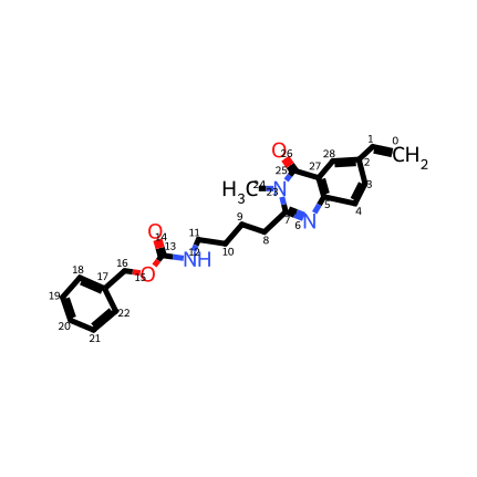 C=Cc1ccc2nc(CCCCNC(=O)OCc3ccccc3)n(C)c(=O)c2c1